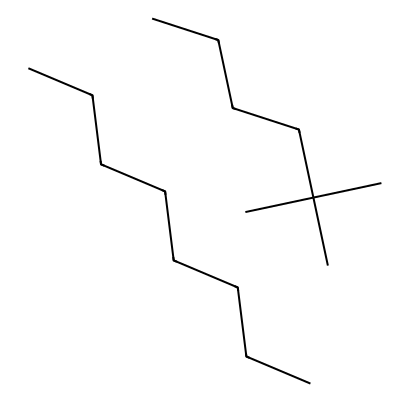 CCCCC(C)(C)C.CCCCCCCC